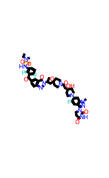 CCN(C)S(=O)(=O)Nc1ccc(F)c(C(=O)c2ccc3ncn([C@H]4COC5(CCN(C(=O)CC6(O)CCN(c7cc8c(cc7F)c(N7CCC(=O)NC7=O)nn8C)CC6)CC5)C4)c(=O)c3c2)c1F